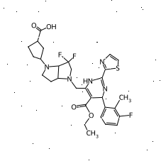 CCOC(=O)C1=C(CN2CC(F)(F)C3C2CCN3C2CCC(C(=O)O)C2)NC(c2nccs2)=NC1c1cccc(F)c1C